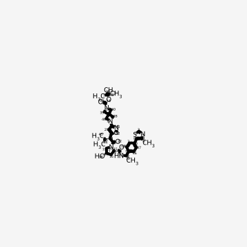 Cc1ncsc1-c1ccc([C@H](C)NC(=O)[C@@H]2C[C@@H](O)CN2C(=O)[C@@H](c2cc(N3CC4(CN(C(=O)OC(C)(C)C)C4)C3)no2)C(C)C)cc1